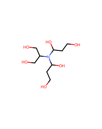 OCCC(O)N(C(O)CCO)C(CO)CO